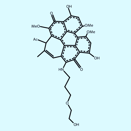 COc1c2c3c4c(c(NCCCOCCO)c(=O)c5c(O)cc(OC)c(c6c(OC)cc(O)c(c1=O)c63)c54)C=C(C)C2C(C)=O